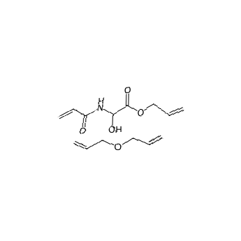 C=CCOC(=O)C(O)NC(=O)C=C.C=CCOCC=C